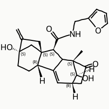 C=C1C[C@]23C[C@@]1(O)CC[C@H]2C1=C[C@H]2CC(=O)[C@@](C)(C1[C@@H]3C(=O)NCc1ccco1)[C@H]2O